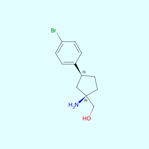 N[C@]1(CO)CC[C@H](c2ccc(Br)cc2)C1